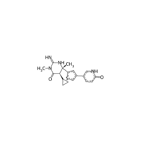 CN1C(=N)N[C@](C)(c2cc(-c3ccc(=O)[nH]c3)cs2)[C@@H](C2CC2)C1=O